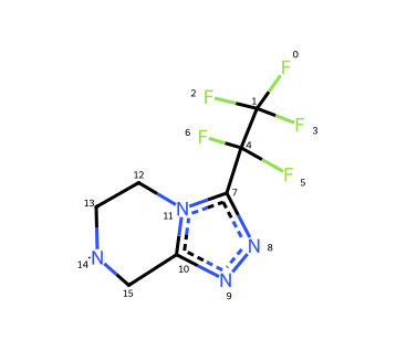 FC(F)(F)C(F)(F)c1nnc2n1CC[N]C2